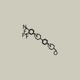 N#Cc1ccc(N2CCC(c3ccc(N4CCC(C=O)CC4)cc3)CC2)cc1C(F)(F)F